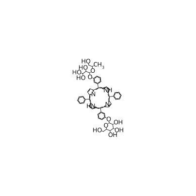 CC(CO)OC(Oc1cccc(-c2c3nc(c(-c4ccccc4)c4ccc([nH]4)c(-c4cccc(OC5OC(CO)C(O)C(O)C5O)c4)c4nc(c(-c5ccccc5)c5ccc2[nH]5)C=C4)C=C3)c1)C(O)C(O)O